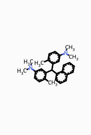 Cc1ccc(N(C)C)cc1C(c1cc(N(C)C)ccc1C)c1cccc2ccccc12